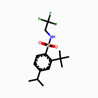 CC(C)c1ccc(S(=O)(=O)NCC(F)(F)F)c(C(C)(C)C)c1